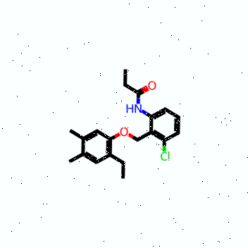 CCC(=O)Nc1cccc(Cl)c1COc1cc(C)c(C)cc1CC